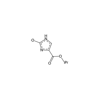 CC(C)OC(=O)c1c[nH]c([O])n1